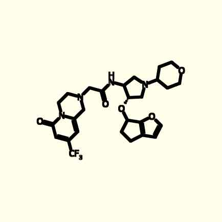 O=C(CN1CCn2c(cc(C(F)(F)F)cc2=O)C1)NC1CN(C2CCOCC2)C[C@@H]1OC1CCc2ccoc21